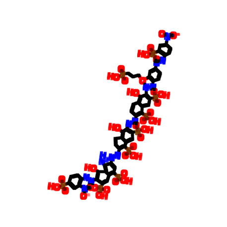 Nc1c(N=Nc2ccc3c(O)c(N=Nc4ccc5c(O)c(N=Nc6ccc(N=Nc7ccc([N+](=O)[O-])cc7S(=O)(=O)O)cc6OCCCS(=O)(=O)O)c(S(=O)(=O)O)cc5c4S(=O)(=O)O)c(S(=O)(=O)O)cc3c2S(=O)(=O)O)cc(S(=O)(=O)O)c2cc(S(=O)(=O)O)c(N=Nc3ccc(S(=O)(=O)O)cc3[N+](=O)[O-])c(O)c12